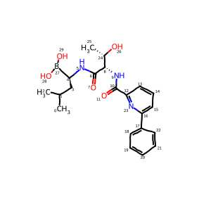 CC(C)C[C@H](NC(=O)[C@@H](NC(=O)c1cccc(-c2ccccc2)n1)[C@H](C)O)B(O)O